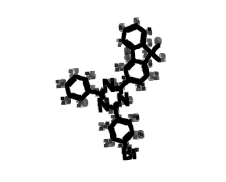 CC1(C)c2ccccc2-c2cc(-c3nc(-c4ccccc4)nc(-c4ccc(Br)cc4)n3)ccc21